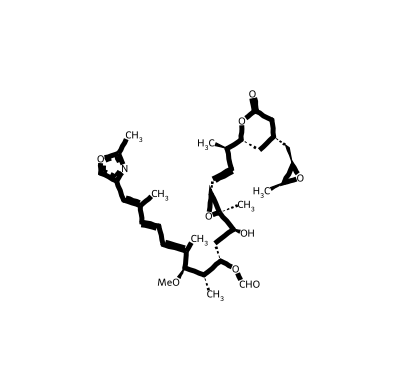 CO[C@@H](/C(C)=C/C=C/C(C)=C/c1coc(C)n1)[C@@H](C)[C@H](C[C@H](O)[C@@]1(C)O[C@@H]1/C=C/[C@@H](C)[C@H]1C[C@@H](C[C@H]2O[C@H]2C)CC(=O)O1)OC=O